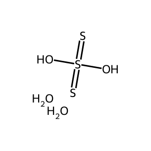 O.O.OS(O)(=S)=S